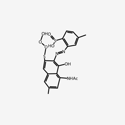 CC(=O)Nc1cc(C)cc2cc(SOOO)c(N=Nc3cc(C)ccc3S(=O)O)c(O)c12